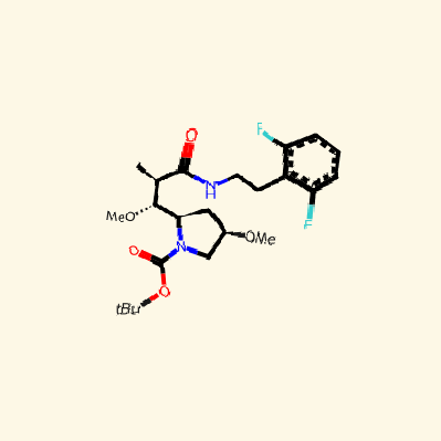 CO[C@@H]1C[C@H]([C@H](OC)[C@@H](C)C(=O)NCCc2c(F)cccc2F)N(C(=O)OC(C)(C)C)C1